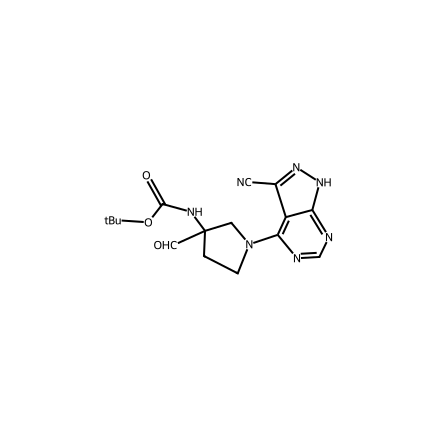 CC(C)(C)OC(=O)NC1(C=O)CCN(c2ncnc3[nH]nc(C#N)c23)C1